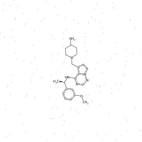 COc1cccc([C@@H](C)Nc2ncnn3ccc(CN4CCC(N)CC4)c23)c1